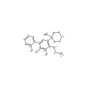 CCCC1(c2cc(-c3ccccc3F)c(F)c(F)c2OCC(F)(F)F)CCCCC1